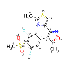 Cc1nc(-c2noc(C)c2-c2cc(F)c(S(C)(=O)=O)c(F)c2)cs1